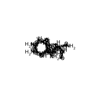 CC(=O)OCc1ccc(NC(=O)[C@H](CCCNC(N)=O)NC(=O)[C@@H](NC(=O)N[C@H](C(=O)N[C@@H](CCN)C(=O)N[C@H]2CCNC(=O)[C@H]([C@@H](C)O)NC(=O)[C@H](CCN)NC(=O)[C@H](CCN)NC(=O)[C@H](CC(C)C)NC(=O)[C@@H](Cc3ccccc3)NC(=O)[C@H](CCN)NC2=O)[C@@H](C)O)C(C)C)cc1